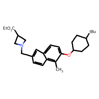 CCOC(=O)C1CN(Cc2ccc3c(C)c(OC4CCC(C(C)(C)C)CC4)ccc3c2)C1